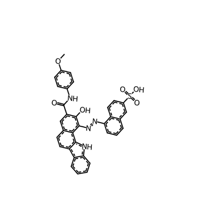 COc1ccc(NC(=O)c2cc3ccc4c5ccccc5[nH]c4c3c(N=Nc3cccc4cc(S(=O)(=O)O)ccc34)c2O)cc1